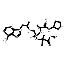 CC(C)OC(=O)C(C)(C)NP(=O)(COC(C)Cn1cnc2c(N)ncnc21)OC(C)C(=O)OC1CCCC1